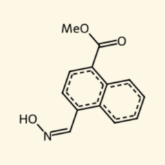 COC(=O)c1ccc(/C=N\O)c2ccccc12